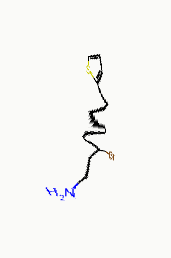 NCCC(Br)CCCCc1cccs1